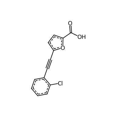 O=C(O)c1ccc(C#Cc2ccccc2Cl)o1